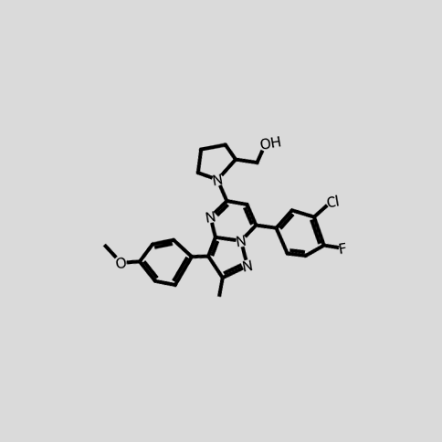 COc1ccc(-c2c(C)nn3c(-c4ccc(F)c(Cl)c4)cc(N4CCCC4CO)nc23)cc1